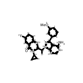 COc1cccc(-c2nn(C(C)c3nc4ccc(F)cc4c(=O)n3C3CC3)c3ncnc(N)c23)c1